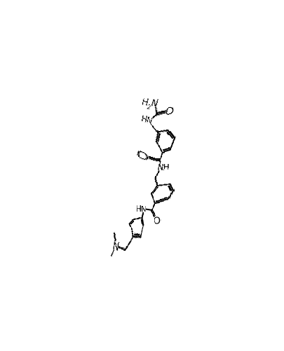 CN(C)Cc1ccc(NC(=O)c2cccc(CNC(=O)c3cccc(NC(N)=O)c3)c2)cc1